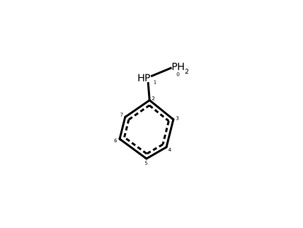 PPc1ccccc1